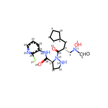 O=CN(O)C[C@@H](CC1CCCC1)C(=O)N1NCC[C@H]1C(=O)Nc1cccnc1F